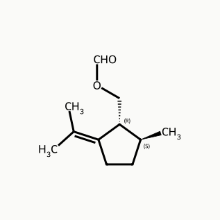 CC(C)=C1CC[C@H](C)[C@H]1COC=O